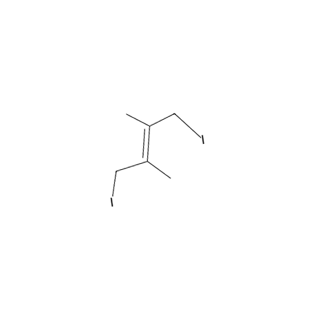 CC(CI)=C(C)CI